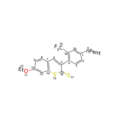 CCCCCc1ccc(-c2cc3ccc(OCC)cc3sc2=S)c(C(F)(F)F)c1